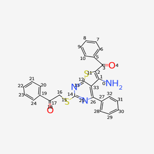 Nc1c(C(=O)c2ccccc2)sc2nc(SCC(=O)c3ccccc3)nc(-c3ccccc3)c12